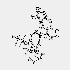 CC(C)(C)[Si](C)(C)Oc1ccc(-c2ccccc2C=C2NC(=O)SC2=O)cc1C12CC3CC(CC(C3)C1)C2